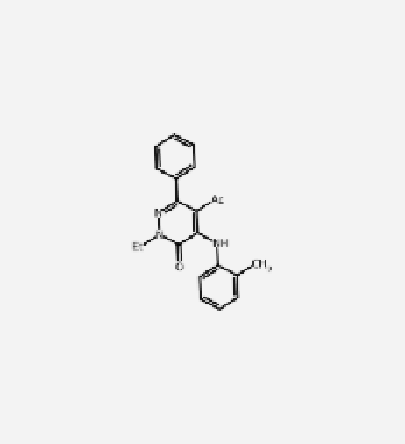 CCn1nc(-c2ccccc2)c(C(C)=O)c(Nc2ccccc2C)c1=O